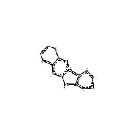 C1=CCc2nc3c(nc2=C1)N=c1ccccc1=3